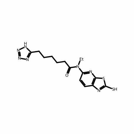 CCN(C(=O)CCCCCc1nnn[nH]1)c1ccc2nc(S)sc2n1